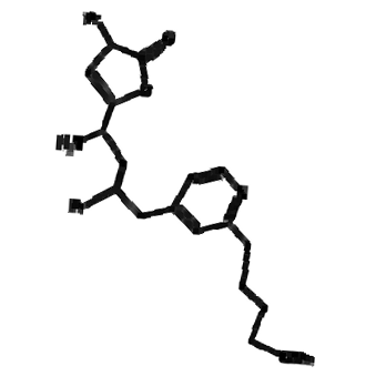 COCCCCc1cc(CC(CC(N)C2=CC(C(C)C)C(=O)O2)C(C)C)ccn1